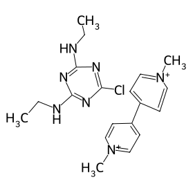 CCNc1nc(Cl)nc(NCC)n1.C[n+]1ccc(-c2cc[n+](C)cc2)cc1